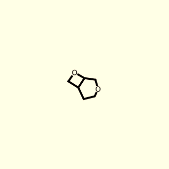 C1CC2COC2CO1